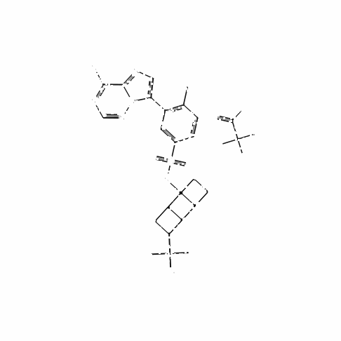 Cc1ccc(S(=O)(=O)NC23C4C5C2C2C3C4C52C(C)(C)O)cc1-c1cnc2c(N)ncnn12.O=C(O)C(F)(F)F